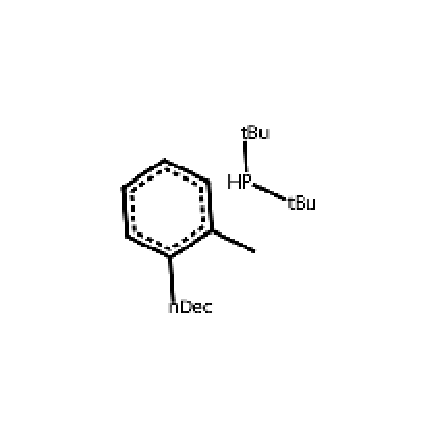 CC(C)(C)PC(C)(C)C.CCCCCCCCCCc1ccccc1C